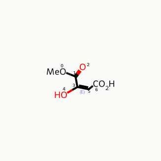 COC(=O)/C(O)=C\C(=O)O